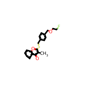 Cc1c(SCc2ccc(COCCF)cc2)oc2ccccc2c1=O